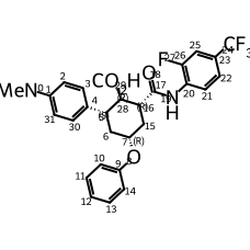 CNc1ccc([C@H]2C[C@@H](Oc3ccccc3)C[C@@H](C(=O)Nc3ccc(C(F)(F)F)cc3F)[C@@H]2C(=O)O)cc1